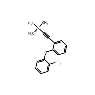 C[Si](C)(C)C#Cc1ccccc1Oc1ccccc1C(F)(F)F